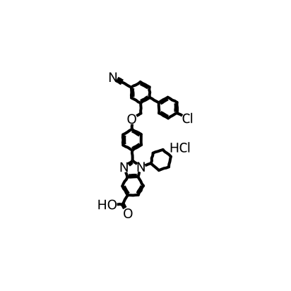 Cl.N#Cc1ccc(-c2ccc(Cl)cc2)c(COc2ccc(-c3nc4cc(C(=O)O)ccc4n3C3CCCCC3)cc2)c1